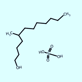 CCCCCCCC(C)CCCCO.O=S(=O)(O)O